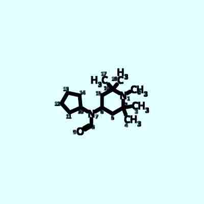 CN1C(C)(C)CC(N(C=O)C2CCCC2)CC1(C)C